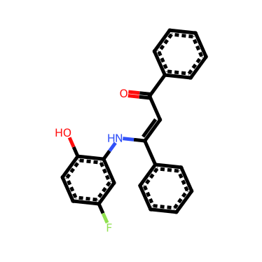 O=C(/C=C(\Nc1cc(F)ccc1O)c1ccccc1)c1ccccc1